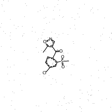 Cc1oncc1C(=O)c1ccc(Cl)cc1S(C)(=O)=O